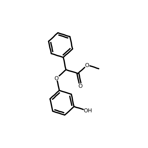 COC(=O)C(Oc1cccc(O)c1)c1ccccc1